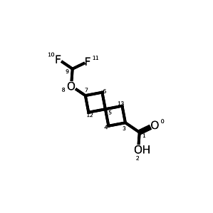 O=C(O)C1CC2(CC(OC(F)F)C2)C1